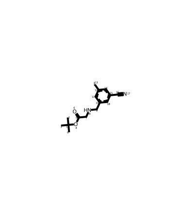 CC(C)(C)OC(=O)CNCc1cc(I)cc(C#N)c1